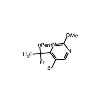 CCCCCC(C)(CC)c1nc(OC)ncc1Br